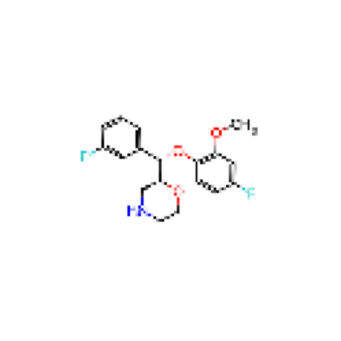 COc1cc(F)ccc1O[C@@H](c1cccc(F)c1)[C@@H]1CNCCO1